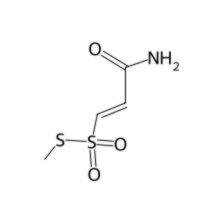 CSS(=O)(=O)C=CC(N)=O